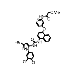 COCC(=O)Nc1cc(Oc2ccc(NC(=O)Nc3cc(C(C)(C)C)nn3-c3ccc(Cl)c(Cl)c3)c3ccccc23)ccn1